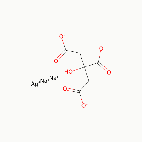 O=C([O-])CC(O)(CC(=O)[O-])C(=O)[O-].[Ag+].[Na+].[Na+]